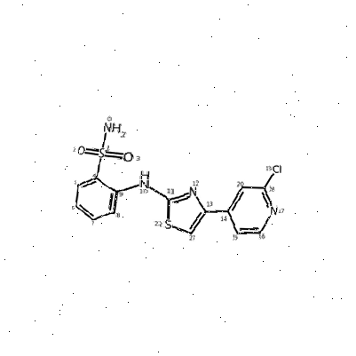 NS(=O)(=O)c1ccccc1Nc1nc(-c2ccnc(Cl)c2)cs1